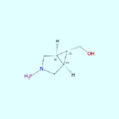 OC[C@@H]1[C@H]2CN(P)C[C@@H]12